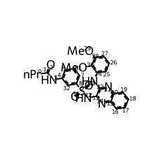 CCCC(=O)Nc1cccc(S(=O)(=O)Nc2nc3ccccc3nc2Nc2cccc(OC)c2OC)c1